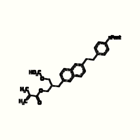 C=C(C)C(=O)OCC(COC(=O)O)Cc1ccc2cc(CCc3ccc(CCCCC)cc3)ccc2c1